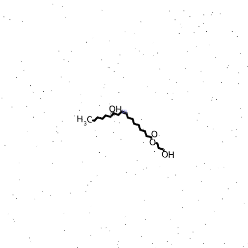 CCCCCC[C@@H](O)C/C=C\CCCCCCCC(=O)OCCCO